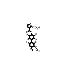 [2H]c1cc([2H])c(-c2c(F)c(F)c(NC(=O)c3ccsc3C(=O)O)c(F)c2F)c([2H])c1OC(F)(F)F